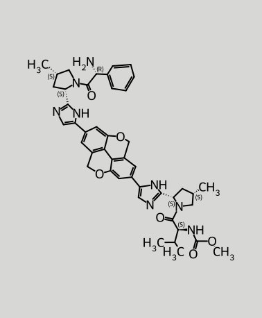 COC(=O)N[C@H](C(=O)N1C[C@@H](C)C[C@H]1c1ncc(-c2cc3c4c(c2)OCc2cc(-c5cnc([C@@H]6C[C@H](C)CN6C(=O)[C@H](N)c6ccccc6)[nH]5)cc(c2-4)OC3)[nH]1)C(C)C